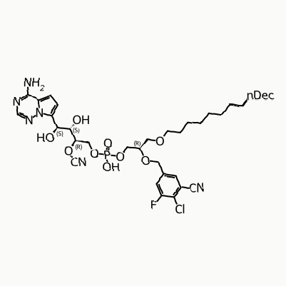 CCCCCCCCCCCCCCCCCCOC[C@H](COP(=O)(O)OC[C@@H](OC#N)[C@@H](O)[C@@H](O)c1ccc2c(N)ncnn12)OCc1cc(F)c(Cl)c(C#N)c1